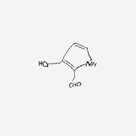 O=[C]c1[nH]ccc1O